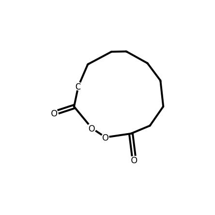 O=C1CCCCCCCCC(=O)OO1